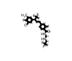 Cc1cc(C(/C=C/c2ccc(C(=O)NCNCC(F)(F)F)c(F)c2)C(F)(F)F)cc(Cl)c1F